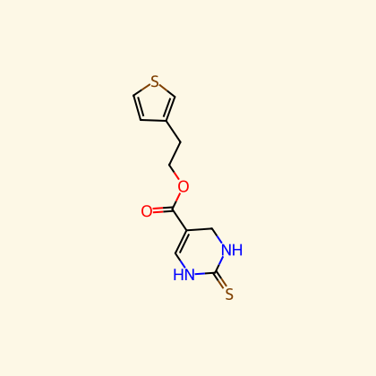 O=C(OCCc1ccsc1)C1=CNC(=S)NC1